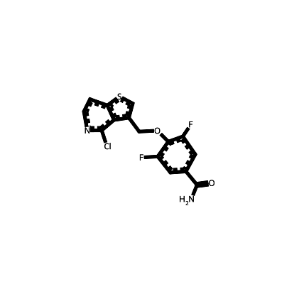 NC(=O)c1cc(F)c(OCc2csc3ccnc(Cl)c23)c(F)c1